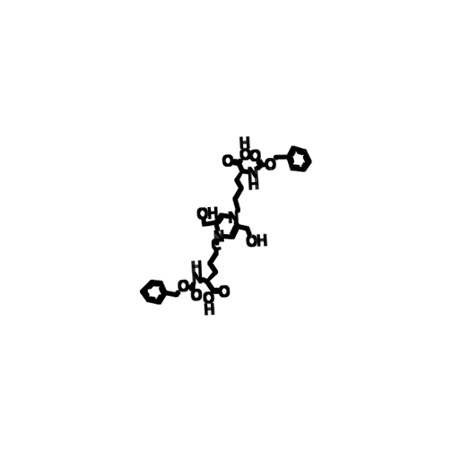 O=C(N[C@@H](CCCCN1C=C(CO)N(CCCC[C@H](NC(=O)OCc2ccccc2)C(=O)O)C=C1CO)C(=O)O)OCc1ccccc1